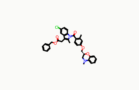 Cc1cc(OC[C@@H]2CN(C)c3ccccc3O2)ccc1C(=O)n1c(C)c(CC(=O)OCc2ccccc2)c2cc(Cl)ccc21